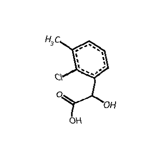 Cc1cccc(C(O)C(=O)O)c1Cl